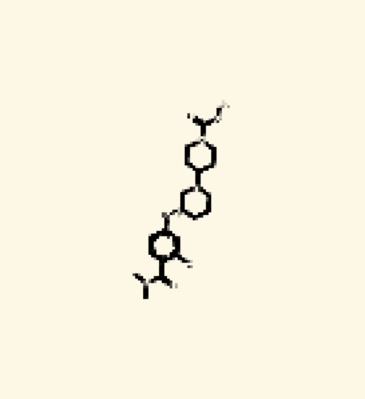 CN(C)C(=O)c1ccc(N[C@@H]2CCCN(C3CCN(C(=O)OC(C)(C)C)CC3)C2)cc1Cl